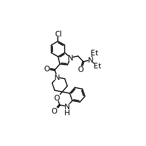 CCN(CC)C(=O)Cn1cc(C(=O)N2CCC3(CC2)OC(=O)Nc2ccccc23)c2ccc(Cl)cc21